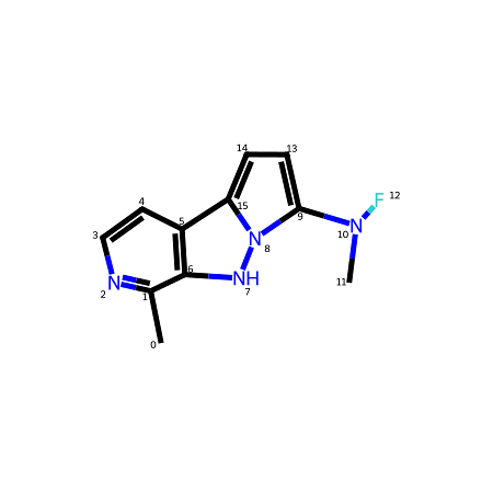 Cc1nccc2c1[nH]n1c(N(C)F)ccc21